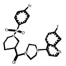 CC(=O)c1ccc(S(=O)(=O)N2CCCC(C(=O)N3CCN(c4ccnc5cc(F)ccc45)CC3)C2)cc1